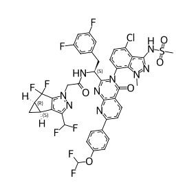 Cn1nc(NS(C)(=O)=O)c2c(Cl)ccc(-n3c([C@H](Cc4cc(F)cc(F)c4)NC(=O)Cn4nc(C(F)F)c5c4C(F)(F)[C@@H]4C[C@H]54)nc4nc(-c5ccc(OC(F)F)cc5)ccc4c3=O)c21